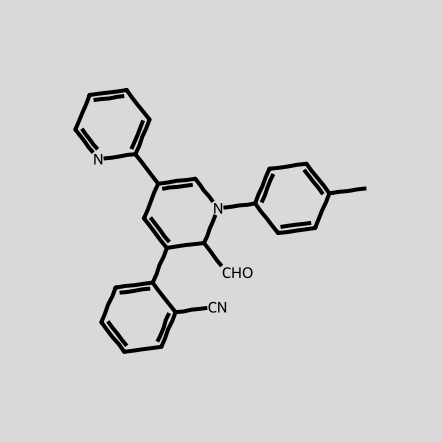 Cc1ccc(N2C=C(c3ccccn3)C=C(c3ccccc3C#N)C2C=O)cc1